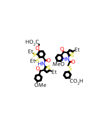 CCSc1c(OCC(=O)O)ccc(C(=O)Nc2sc(CC)cc2C(=O)c2ccc(OC)cc2)c1SCC.CCc1cc(C(=O)c2ccc(OC)cc2)c(NC(=O)CSc2cccc(C(=O)O)c2)s1